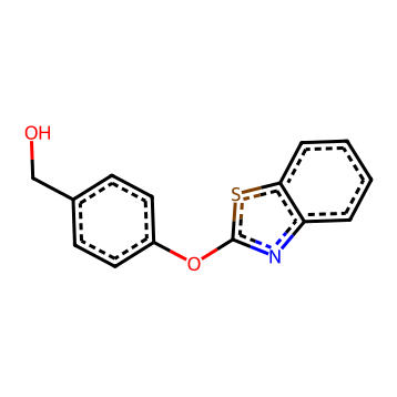 OCc1ccc(Oc2nc3ccccc3s2)cc1